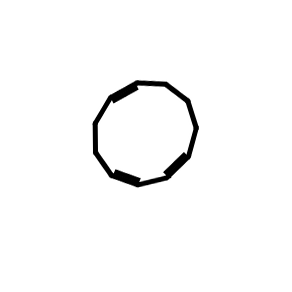 [C]1=C\CCC/C=C\CC\C=C/1